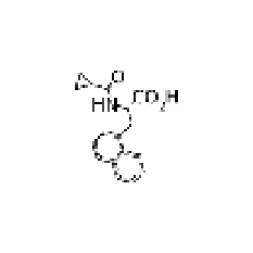 O=C(N[C@@H](Cc1cccc2ccccc12)C(=O)O)C1CC1